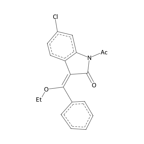 CCO/C(=C1/C(=O)N(C(C)=O)c2cc(Cl)ccc21)c1ccccc1